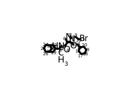 CC(NC(=O)c1cnn(CCBr)c1OCC1CCCCC1)C1CC2CCCC(C2)C1